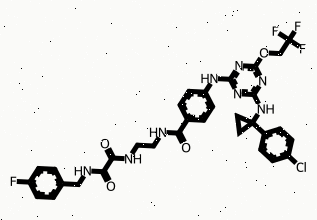 O=C(NCCNC(=O)c1ccc(Nc2nc(NC3(c4ccc(Cl)cc4)CC3)nc(OCC(F)(F)F)n2)cc1)C(=O)NCc1ccc(F)cc1